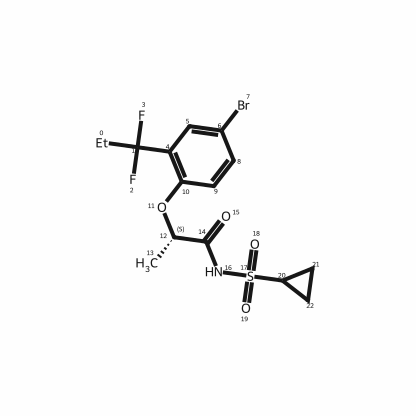 CCC(F)(F)c1cc(Br)ccc1O[C@@H](C)C(=O)NS(=O)(=O)C1CC1